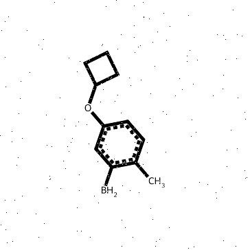 Bc1cc(OC2CCC2)ccc1C